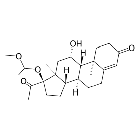 COC(C)O[C@]1(C(C)=O)CC[C@H]2[C@@H]3CCC4=CC(=O)CC[C@]4(C)[C@H]3[C@@H](O)C[C@@]21C